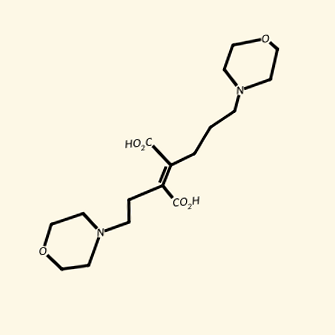 O=C(O)/C(CCCN1CCOCC1)=C(\CCN1CCOCC1)C(=O)O